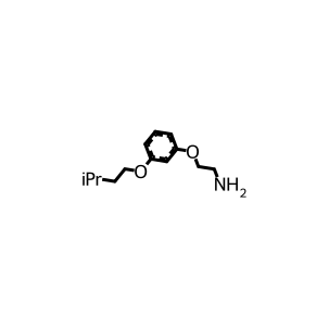 CC(C)CCOc1cccc(OCCN)c1